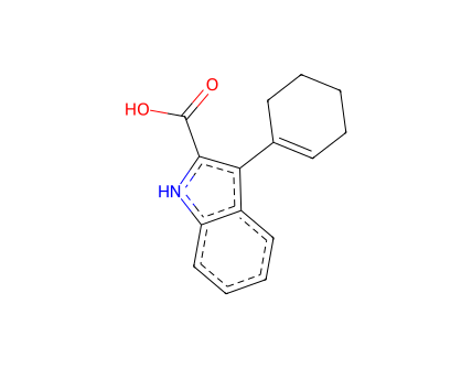 O=C(O)c1[nH]c2ccccc2c1C1=CCCCC1